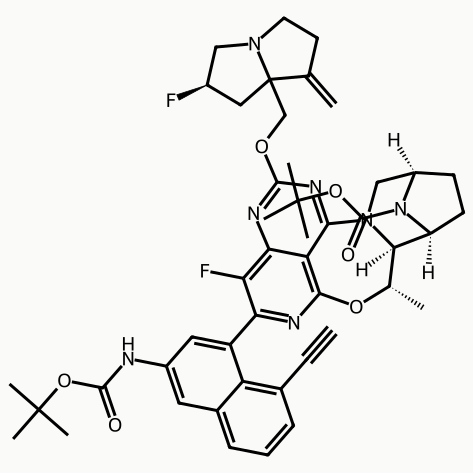 C#Cc1cccc2cc(NC(=O)OC(C)(C)C)cc(-c3nc4c5c(nc(OCC67C[C@@H](F)CN6CCC7=C)nc5c3F)N3C[C@H]5CC[C@@H]([C@H]3[C@H](C)O4)N5C(=O)OC(C)(C)C)c12